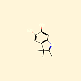 CC1=Nc2cc(O)c(O)cc2C1(C)C